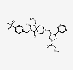 CC(C)CN1C(=O)N(Cc2ccc(S(C)(=O)=O)cc2)C(=O)C12CCN(CC1CN(C(=O)CC(C)(C)C)CC1c1ccccc1)CC2